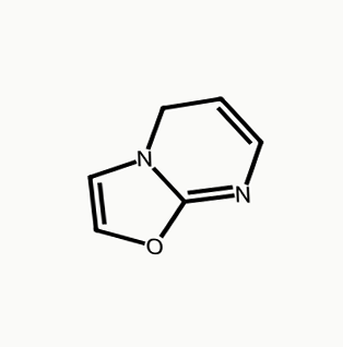 C1=CN=C2OC=CN2C1